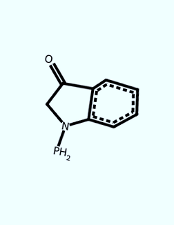 O=C1CN(P)c2ccccc21